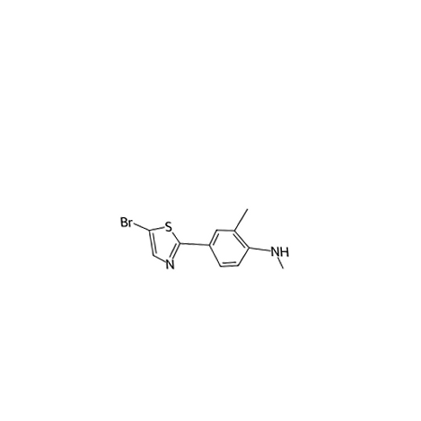 CNc1ccc(-c2ncc(Br)s2)cc1C